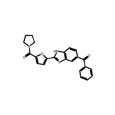 O=C(c1ccccc1)c1ccc2[nH]c(-c3ccc(C(=O)N4CCCC4)o3)nc2c1